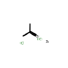 C[C](C)=[Zr].Cl.Cl.[Zr]